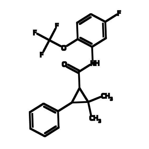 CC1(C)C(C(=O)Nc2cc(F)ccc2OC(F)(F)F)C1c1ccccc1